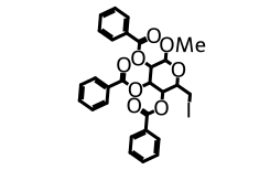 COC1OC(CI)C(OC(=O)c2ccccc2)C(OC(=O)c2ccccc2)C1OC(=O)c1ccccc1